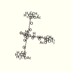 CC(=O)OCC1OC(OCCCCC(=O)CCCCCC(=O)CCOCC(COCCC(=O)CCCCCC(=O)CCCCOC2OC(COC(C)=O)C(C)C(C)C2C)(COCCC(=O)NCCCNC(=O)CCCCOC2OC(COC(C)=O)C(C)C(C)C2C)NC(=O)OCc2ccccc2)C(C)C(C)C1C